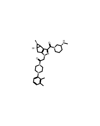 CN[C@H]1CCCN(C(=O)c2nn(CC(=O)N3CCN(c4cccc(C)c4C)CC3)c3c2C2[C@@H](C3)[C@H]2C)C1